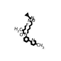 C=C(CCF)C(=O)N(CCCCCc1nc(C2CC2)no1)c1cccc(-c2ccc(C)cn2)c1